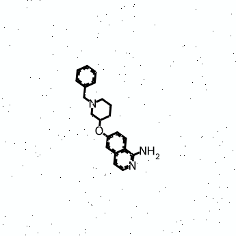 Nc1nccc2cc(OC3CCCN(Cc4ccccc4)C3)ccc12